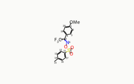 COc1ccc(C(=NOS(=O)(=O)c2ccc(C)cc2)C(F)(F)F)cc1